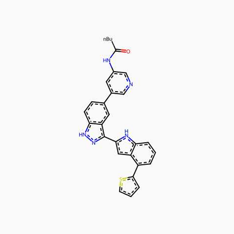 CCCCC(=O)Nc1cncc(-c2ccc3[nH]nc(-c4cc5c(-c6cccs6)cccc5[nH]4)c3c2)c1